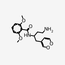 COc1cccc(OC)c1C(=O)NC(CCN)CC1=COOC=C1